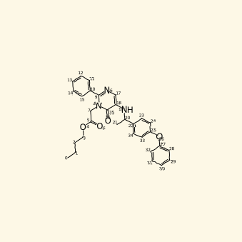 CCCCOC(=O)Cn1c(-c2ccccc2)ncc(NC(C)c2ccc(Oc3ccccc3)cc2)c1=O